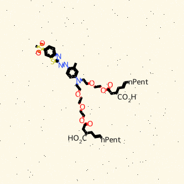 CCCCC/C=C/CC(CC(=O)OCCOCCOCCN(CCOCCOC(=O)CC(C/C=C/CCCCC)C(=O)O)c1ccc(/N=N/c2nc3ccc(S(C)(=O)=O)cc3s2)c(C)c1)C(=O)O